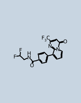 O=C(NCC(F)F)c1ccc(-c2cccn3c(=O)cc(C(F)(F)F)nc23)cc1